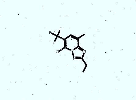 CCc1nc2c(C)cc(C(F)(F)F)c(Cl)n2n1